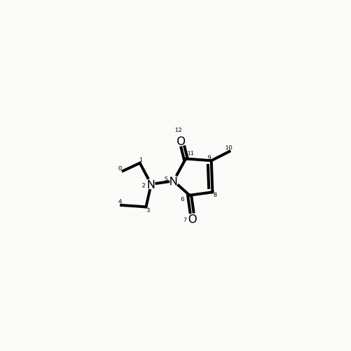 CCN(CC)N1C(=O)C=C(C)C1=O